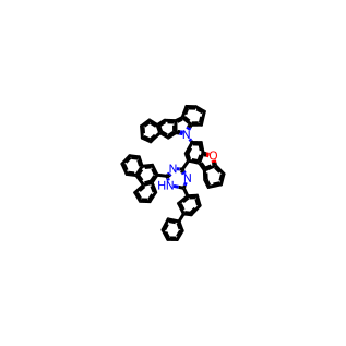 c1ccc(-c2cccc(C3N=C(c4cc(-n5c6ccccc6c6cc7ccccc7cc65)cc5oc6ccccc6c45)N=C(c4cc5ccccc5c5ccccc45)N3)c2)cc1